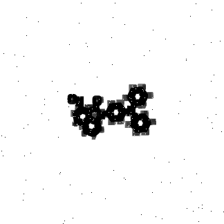 O=Nc1ccc2cccc3c2c1C(=O)N3c1ccc(N(c2ccccc2)c2ccccc2)cc1